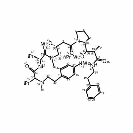 CCC[C@@H]([C@@H](CC(=O)N1CCC[C@H]1[C@H](OC)[C@@H](C)C(=O)NCCc1ccccc1)OC)N(C)C(=O)[C@@H](NC(=O)C(C(C)C)N(C)CCc1ccc(NC)cc1)C(C)C